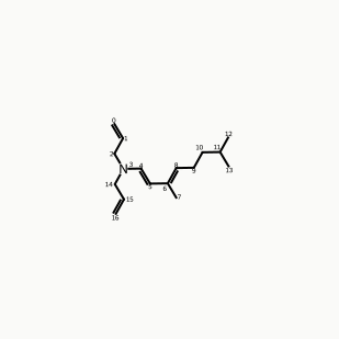 C=CCN(C=CC(C)=CCCC(C)C)CC=C